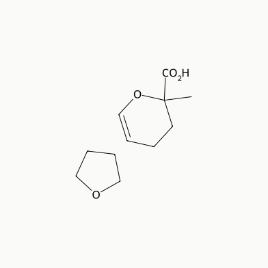 C1CCOC1.CC1(C(=O)O)CCC=CO1